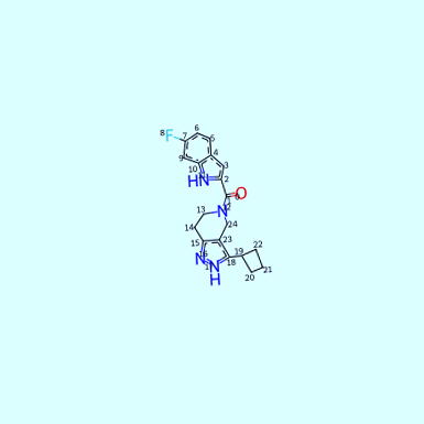 O=C(c1cc2ccc(F)cc2[nH]1)N1CCc2n[nH]c(C3CCC3)c2C1